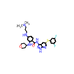 CN(C)CCCNc1ccc(C(=O)Nc2n[nH]c3ncc(Sc4cc(F)cc(F)c4)cc23)c(NC2CCOCC2)c1